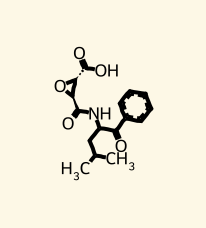 CC(C)CC(NC(=O)[C@H]1O[C@@H]1C(=O)O)C(=O)c1ccccc1